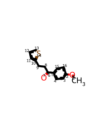 COc1ccc(C(=O)CCc2cccs2)cc1